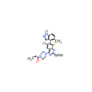 C=CC(=O)N1CCN(c2nc(NC)nc3c(F)c(-c4c(C)ccc5[nH]ncc45)c(Cl)cc23)CC1